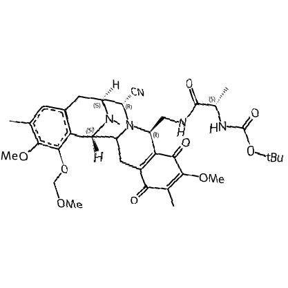 COCOc1c(OC)c(C)cc2c1[C@H]1C3CC4=C(C(=O)C(OC)=C(C)C4=O)[C@H](CNC(=O)[C@H](C)NC(=O)OC(C)(C)C)N3[C@@H](C#N)[C@H](C2)N1C